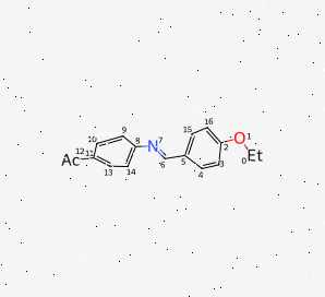 CCOc1ccc(/C=N/c2ccc(C(C)=O)cc2)cc1